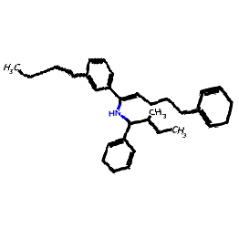 CCCCc1cccc(/C(=C/CCCC2=CCCC=C2)NC(C2=CCCC=C2)C(C)CC)c1